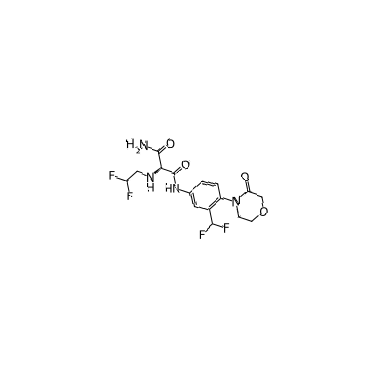 NC(=O)[C@H](NCC(F)F)C(=O)Nc1ccc(N2CCOCC2=O)c(C(F)F)c1